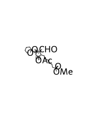 COC(=O)CCCCCCC1C(C=O)[C@H](OC2CCCCO2)C[C@@H]1OC(C)=O